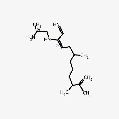 C=C(C)C(C)CCCC(C)C/C=C(\C=N)NC[C@@H](C)N